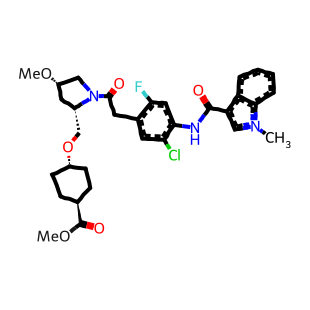 COC(=O)[C@H]1CC[C@H](OC[C@@H]2C[C@H](OC)CN2C(=O)Cc2cc(Cl)c(NC(=O)c3cn(C)c4ccccc34)cc2F)CC1